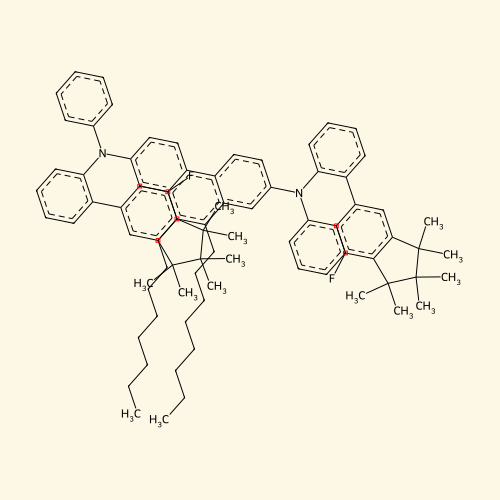 CCCCCCCCc1c(CCCCCCCC)c2cc(N(c3ccccc3)c3ccccc3-c3cc(F)c4c(c3)C(C)(C)C(C)(C)C4(C)C)ccc2c2ccc(N(c3ccccc3)c3ccccc3-c3cc(F)c4c(c3)C(C)(C)C(C)(C)C4(C)C)cc12